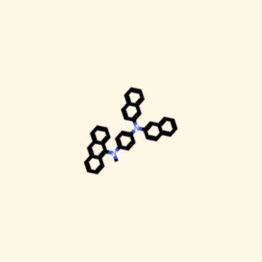 CN(c1ccc(N(c2ccc3ccccc3c2)c2ccc3ccccc3c2)cc1)c1c2ccccc2cc2ccccc12